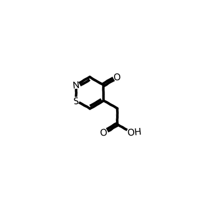 O=C(O)Cc1csncc1=O